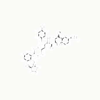 Cc1ccc2oc(C(=O)N[C@H](C=C3CCC(c4ccccc4CN4CCCC4=O)CC3)Cc3ccc(Cl)cc3)cc(=O)c2c1